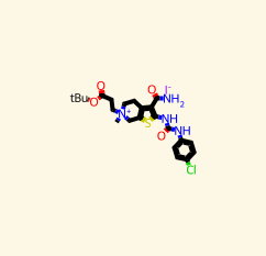 CC(C)(C)OC(=O)CC[N+]1(C)CCc2c(sc(NC(=O)Nc3ccc(Cl)cc3)c2C(N)=O)C1.[I-]